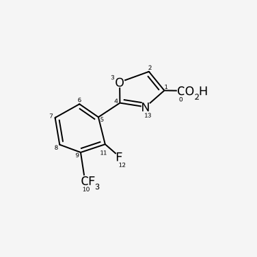 O=C(O)c1coc(-c2cccc(C(F)(F)F)c2F)n1